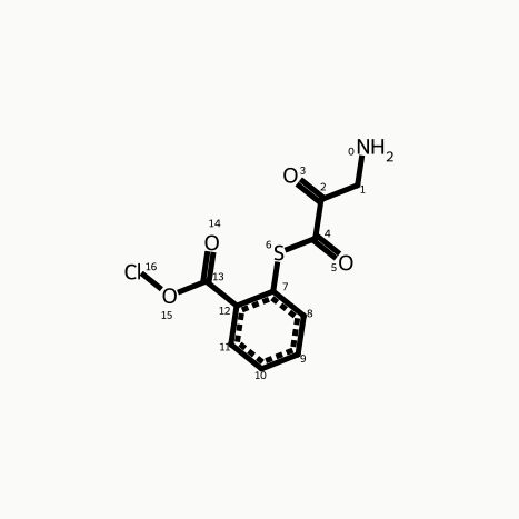 NCC(=O)C(=O)Sc1ccccc1C(=O)OCl